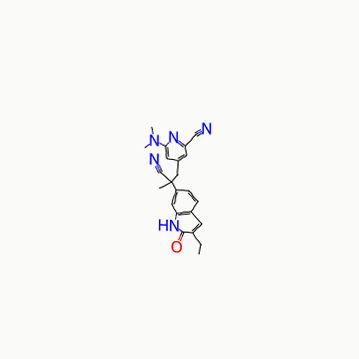 CCc1cc2ccc(C(C)(C#N)Cc3cc(C#N)nc(N(C)C)c3)cc2[nH]c1=O